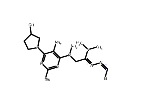 CC/C=N\N=C(\CN(N)c1nc(C(C)(C)C)nc(N2CCC(O)C2)c1N)N(C)C